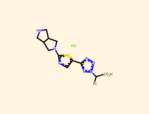 CCC(C(=O)O)n1nnc(-c2cnc(N3CC4CNCC4C3)s2)n1.Cl